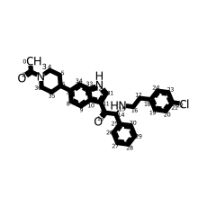 CC(=O)N1CCC(c2ccc3c(C(=O)[C@H](NCCc4ccc(Cl)cc4)c4ccccc4)c[nH]c3c2)CC1